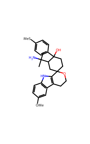 COc1ccc2[nH]c3c(c2c1)CCOC31CCC(O)(c2ccc(SC)cc2)C(C(C)(C)N)C1